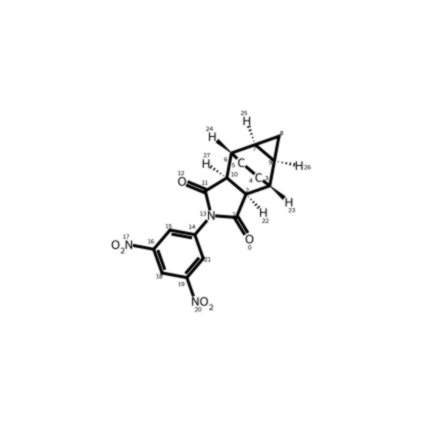 O=C1[C@@H]2[C@@H]3CC[C@@H]([C@H]4C[C@H]43)[C@@H]2C(=O)N1c1cc([N+](=O)[O-])cc([N+](=O)[O-])c1